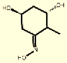 CC1C(=NO)C[C@@H](O)C[C@@H]1O